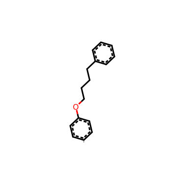 [c]1ccc(OCCCCc2ccccc2)cc1